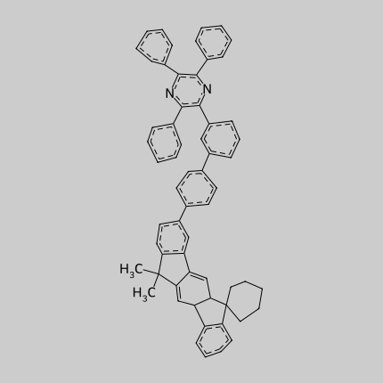 CC1(C)C2=CC3c4ccccc4C4(CCCCC4)C3C=C2c2cc(-c3ccc(-c4cccc(-c5nc(-c6ccccc6)c(-c6ccccc6)nc5-c5ccccc5)c4)cc3)ccc21